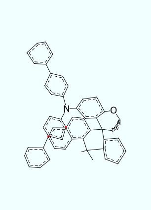 CC1(C)c2ccccc2C2(c3ccccc3Oc3ccc(N(c4ccc(-c5ccccc5)cc4)c4ccc(-c5ccccc5)cc4)cc32)c2ccc3ccccc3c21